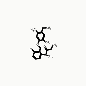 CCC(=O)N(C)c1cccc(Cl)c1COc1cc(C)c(CC)cc1C